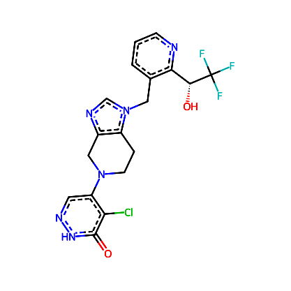 O=c1[nH]ncc(N2CCc3c(ncn3Cc3cccnc3[C@@H](O)C(F)(F)F)C2)c1Cl